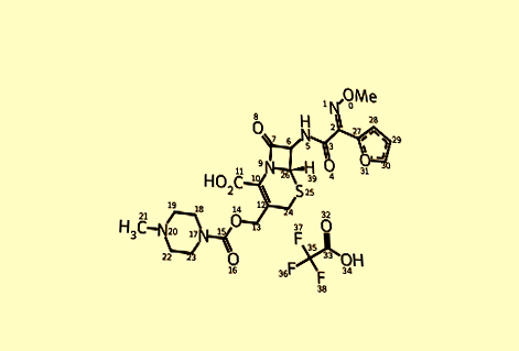 CON=C(C(=O)NC1C(=O)N2C(C(=O)O)=C(COC(=O)N3CCN(C)CC3)CS[C@@H]12)c1ccco1.O=C(O)C(F)(F)F